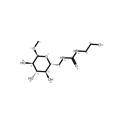 CO[C@H]1O[C@H](CNC(=O)NCCCl)[C@@H](O)[C@H](O)[C@H]1O